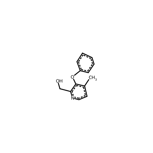 Cc1ccnc(CO)c1Oc1ccccc1